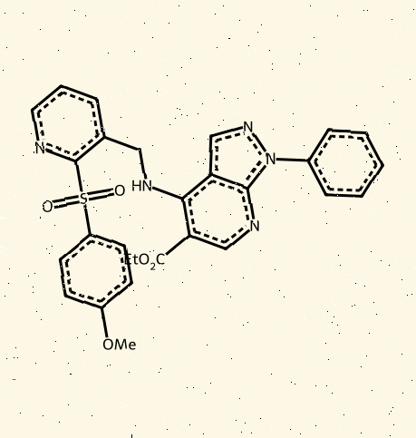 CCOC(=O)c1cnc2c(cnn2-c2ccccc2)c1NCc1cccnc1S(=O)(=O)c1ccc(OC)cc1